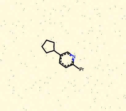 CC(C)c1ccc(C2CCCC2)cn1